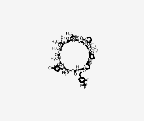 CC[C@H](C)[C@@H]1NC(=O)[C@H](CC(C)C)N(C)C(=O)C[C@@H](C(=O)N2CCCCC2)N(C)C(=O)[C@H](C(C)C)N(C)C(=O)C2(CCCC2)NC(=O)[C@@H]2CCCN2C(=O)[C@H](CCc2ccc(C(F)(F)F)c(F)c2)NC(=O)CN(C)C(=O)[C@H](Cc2ccc(Cl)cc2)N(C)C(=O)CN(C)C(=O)CN(C)C1=O